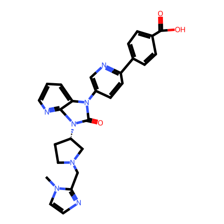 Cn1ccnc1CN1CC[C@H](n2c(=O)n(-c3ccc(-c4ccc(C(=O)O)cc4)nc3)c3cccnc32)C1